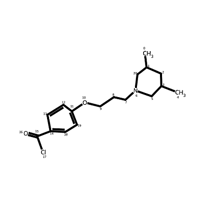 CC1CC(C)CN(CCCOc2ccc(C(=O)Cl)cc2)C1